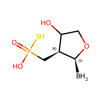 B[C@@H]1OCC(O)[C@@H]1CP(=O)(O)S